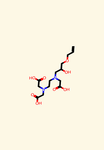 C=CCOCC(O)CN(CCN(CC(=O)O)CC(=O)O)CC(=O)O